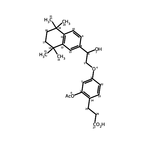 CC(=O)Oc1cc(OCC(O)c2ccc3c(c2)C(C)(C)CCC3(C)C)ccc1CCC(=O)O